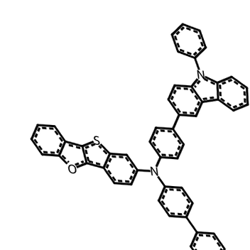 c1ccc(-c2ccc(N(c3ccc(-c4ccc5c(c4)c4ccccc4n5-c4ccccc4)cc3)c3ccc4c(c3)sc3c5ccccc5oc43)cc2)cc1